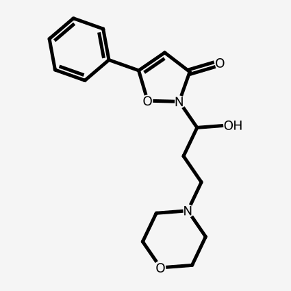 O=c1cc(-c2ccccc2)on1C(O)CCN1CCOCC1